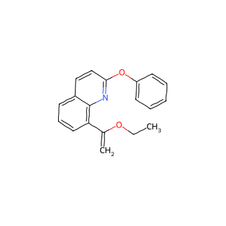 C=C(OCC)c1cccc2ccc(Oc3ccccc3)nc12